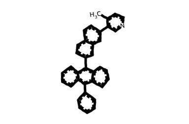 Cc1ccncc1-c1ccc2ccc(-c3c4ccccc4c(-c4ccccc4)c4ccccc34)cc2c1